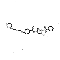 N[C@H](CC(=O)OC(=O)c1ccc(OCCCCN2CCOCC2)cc1)NS(=O)(=O)c1ccccc1